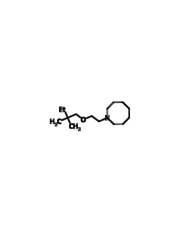 CCC(C)(C)COCCN1CCCCCCC1